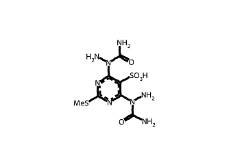 CSc1nc(N(N)C(N)=O)c(S(=O)(=O)O)c(N(N)C(N)=O)n1